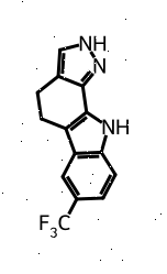 FC(F)(F)c1ccc2[nH]c3c(c2c1)CCc1c[nH]nc1-3